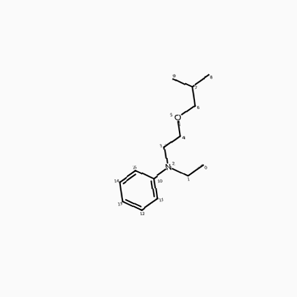 CCN(CCOCC(C)C)c1ccccc1